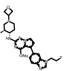 COc1nc(N[C@H]2CCN(C3COC3)C[C@@H]2F)nn2ccc(-c3ccc4ncn(CCF)c4c3)c12